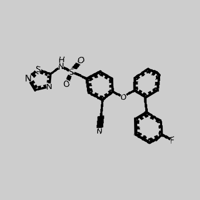 N#Cc1cc(S(=O)(=O)Nc2ncns2)ccc1Oc1ccccc1-c1cccc(F)c1